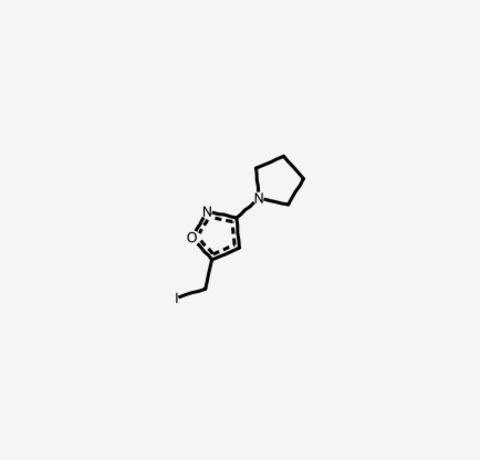 ICc1cc(N2CCCC2)no1